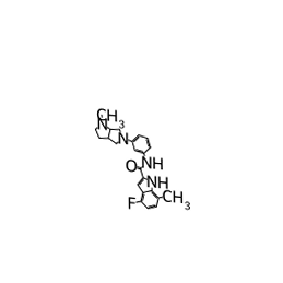 Cc1ccc(F)c2cc(C(=O)Nc3cccc(N4CC5CCN(C)C5C4)c3)[nH]c12